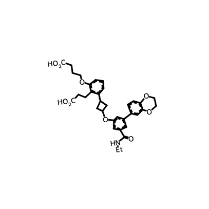 CCNC(=O)c1cc(OC2CC(c3cccc(OCCCC(=O)O)c3CCC(=O)O)C2)cc(-c2ccc3c(c2)OCCO3)c1